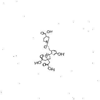 O=C(O)CC1(CC(=O)O)CC(c2cc(O)ccc2CCC(=O)N2CCC(C(=O)O)CC2)=NO1